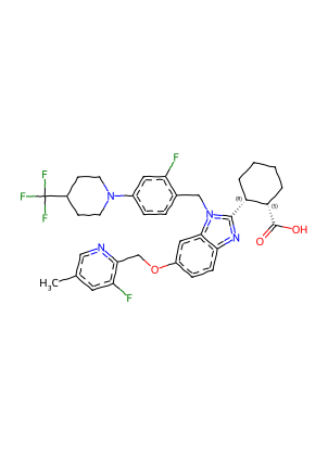 Cc1cnc(COc2ccc3nc([C@@H]4CCCC[C@@H]4C(=O)O)n(Cc4ccc(N5CCC(C(F)(F)F)CC5)cc4F)c3c2)c(F)c1